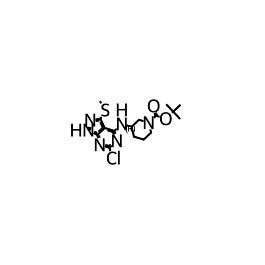 CSc1n[nH]c2nc(Cl)nc(N[C@@H]3CCCN(C(=O)OC(C)(C)C)C3)c12